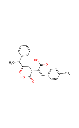 Cc1ccc(C=C(C(=O)O)C(CC(=O)C(C)c2ccccc2)C(=O)O)cc1